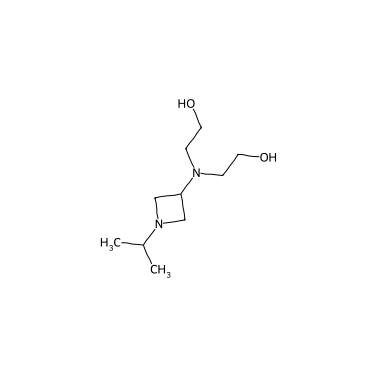 CC(C)N1CC(N(CCO)CCO)C1